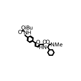 CNC(=O)[C@@H](NC(=O)c1ccc(-c2ccc(CNC(=O)OCC(C)C)cc2)o1)C1CCCCC1